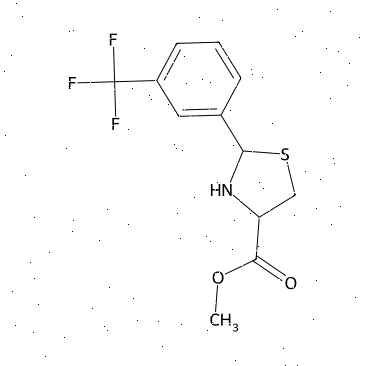 COC(=O)C1CSC(c2cccc(C(F)(F)F)c2)N1